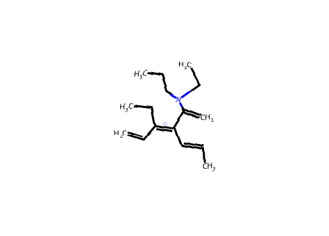 C=C/C(CC)=C(\C=CC)C(=C)N(CC)CCC